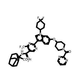 O=C(NC1(C(=O)O)C2CC3CC(C2)CC1C3)c1cnc(-c2cn(C3CCC(F)(F)CC3)c3cc(OC4CCN(C(=O)c5ncccn5)CC4)ccc23)nc1C(F)(F)F